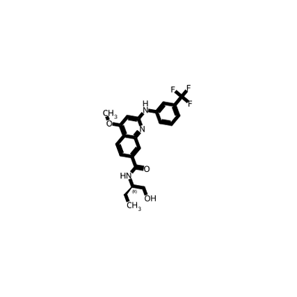 CC[C@H](CO)NC(=O)c1ccc2c(OC)cc(Nc3cccc(C(F)(F)F)c3)nc2c1